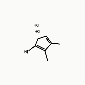 CC1=CC[C]([Hf])=C1C.Cl.Cl